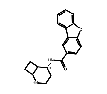 O=C(N[C@@H]1CCNC2CCC21)c1ccc2oc3ccccc3c2c1